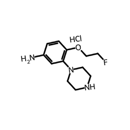 Cl.Nc1ccc(OCCF)c(N2CCNCC2)c1